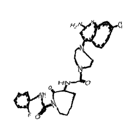 Nc1cc(N2CCN(C(=O)NC3CCCCN(C(=O)Nc4ccccc4F)C3=O)CC2)c2ccc(Cl)cc2n1